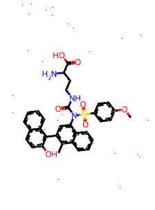 COc1ccc(S(=O)(=O)N(C(=O)NCCC(N)C(=O)O)c2cc(-c3c(O)ccc4ccccc34)c(C)c3ccccc23)cc1